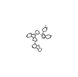 Cc1ccc(-n2c(-c3cccc(-n4c5ccccc5c5cc(-c6cccc7c6sc6ccccc67)ccc54)c3)nc3ccccc32)cc1